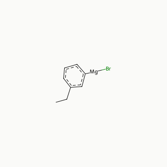 CCc1ccc[c]([Mg][Br])c1